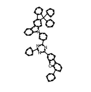 c1ccc(-c2nc(-c3cccc(-n4c5ccccc5c5cc6c(cc54)C(c4ccccc4)(c4ccccc4)c4ccccc4-6)c3)nc(-c3ccc4c(c3)oc3c(-c5ccccc5)cccc34)n2)cc1